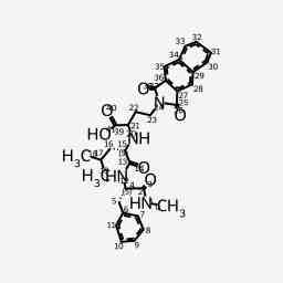 CNC(=O)[C@H](Cc1ccccc1)NC(=O)[C@H](CC(C)C)NC(CCN1C(=O)c2cc3ccccc3cc2C1=O)C(=O)O